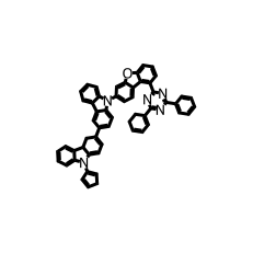 C1=CCCC(c2nc(-c3ccccc3)nc(-c3cccc4oc5cc(-n6c7ccccc7c7cc(C8=CC=C9C(C8)c8ccccc8N9C8=CCC=C8)ccc76)ccc5c34)n2)=C1